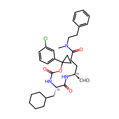 CN(CCc1ccccc1)C(=O)CC[C@@H](C=O)NC(=O)[C@H](CC1CCCCC1)NC(=O)OC1(c2cccc(Cl)c2)CC1